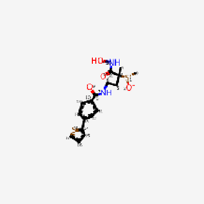 C[S+]([O-])C(C)(CCNC(=O)c1ccc(-c2cccs2)cc1)C(=O)NO